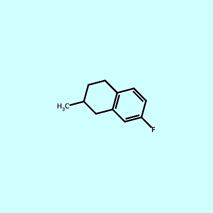 CC1CCc2ccc(F)cc2C1